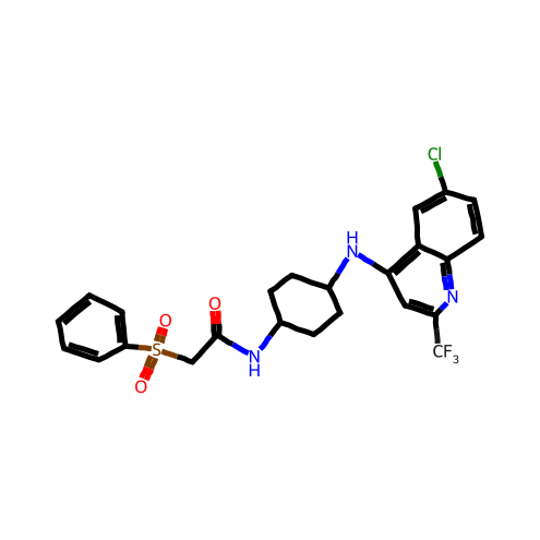 O=C(CS(=O)(=O)c1ccccc1)NC1CCC(Nc2cc(C(F)(F)F)nc3ccc(Cl)cc23)CC1